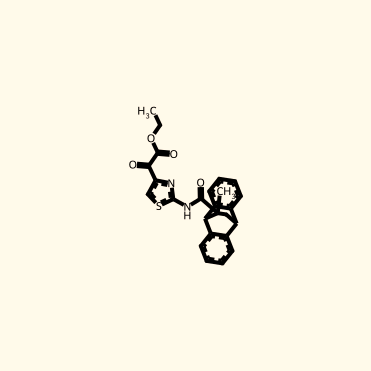 CCOC(=O)C(=O)c1csc(NC(=O)C2(C)CC3c4ccccc4C2c2ccccc23)n1